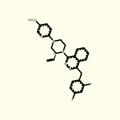 C=C[C@H]1CN(c2ccc(C(=O)OCC)cn2)CCN1c1nnc(Cc2ccc(F)cc2F)c2ccccc12